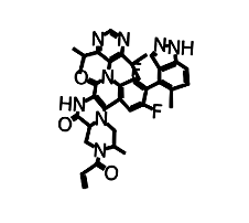 C=CC(=O)N1CC2C(=O)Nc3c(c4cc(F)c(-c5c(C)ccc6[nH]ncc56)c(F)c4n(-c4c(C(C)C)ncnc4C(C)C)c3=O)N2CC1C